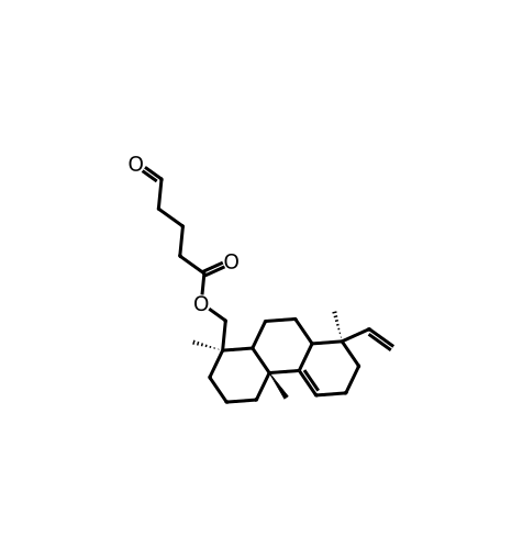 C=C[C@@]1(C)CCC=C2C1CCC1[C@](C)(COC(=O)CCCC=O)CCC[C@@]21C